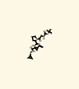 C=CC1CC1(NC(=O)C1CCCN1C(=O)CNC(=O)OC(C)(C)C)C(=O)NSC1CC1